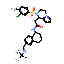 Cc1ccc(S(=O)(=O)N2CCn3cccc3C2CC(=O)NC2CCCc3cc(CNC(C)(C)C)ccc32)cc1Cl